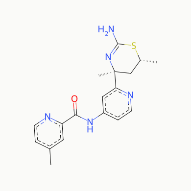 Cc1ccnc(C(=O)Nc2ccnc([C@]3(C)C[C@@H](C)SC(N)=N3)c2)c1